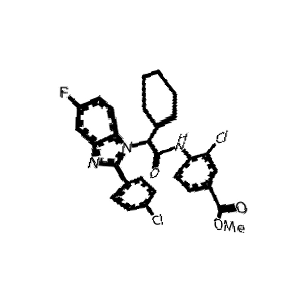 COC(=O)c1ccc(NC(=O)C(C2CCCCC2)n2c(-c3ccc(Cl)cc3)nc3cc(F)ccc32)c(Cl)c1